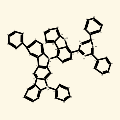 c1ccc(-c2ccc3c(c2)c2cc4c5ccccc5n(-c5ccccc5)c4cc2n3-c2ccc(-c3nc(-c4ccccc4)nc(-c4ccccc4)n3)c3sc4ccccc4c23)cc1